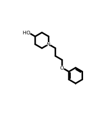 OC1CCN(CCCOC2=C[CH]CC=C2)CC1